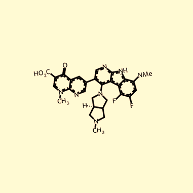 CNc1cc(F)c(F)c2c1[nH]c1ncc(-c3cnc4c(c3)c(=O)c(C(=O)O)cn4C)c(N3CC4CN(C)C[C@H]4C3)c12